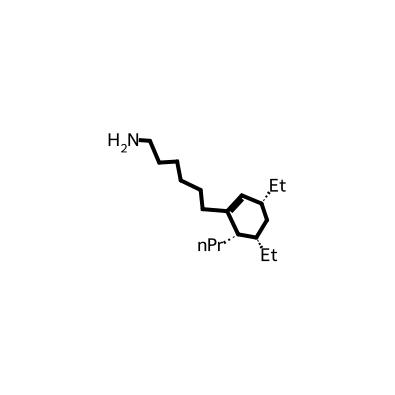 CCC[C@@H]1C(CCCCCCN)=C[C@H](CC)C[C@@H]1CC